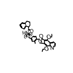 CCOc1c2c(c(OCC)c3ncccc13)CN(c1ccc(CS(=O)(=O)NC(=O)C3CCCc4ccccc43)cc1C)C2=O